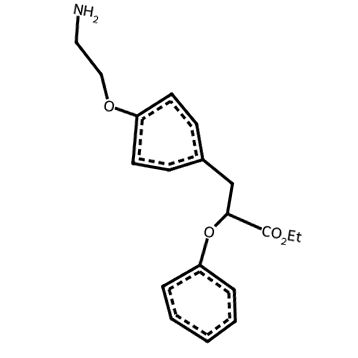 CCOC(=O)C(Cc1ccc(OCCN)cc1)Oc1ccccc1